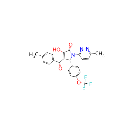 Cc1ccc(C(=O)C2=C(O)C(=O)N(c3ccc(C)nn3)[C@@H]2c2ccc(OC(F)(F)F)cc2)cc1